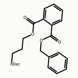 CCCCCCCCCCCCCOC(=O)c1ccccc1C(=O)OCc1ccccc1